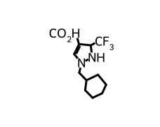 O=C(O)C1=CN(CC2CCCCC2)NC1C(F)(F)F